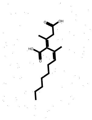 CCCCCCC=C(C)C(C(=O)O)=C(C)CC(=O)O